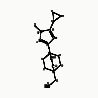 Cn1nc(C23CCC(CO)(CC2)CC3)cc1C1CC1